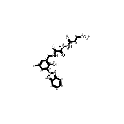 Cc1cc(CNC(=O)C(=O)NNC(=O)CCC(=O)O)c(O)c(-n2nc3ccccc3n2)c1